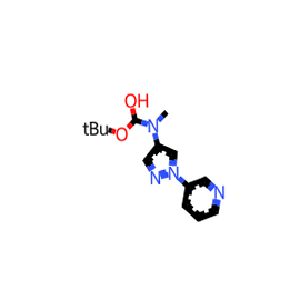 CN(c1cnn(-c2cccnc2)c1)C(O)OC(C)(C)C